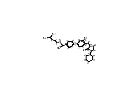 O=C(O)CCCNC(=O)c1ccc(-c2ccc(CC3CCN(C4CCCCC4)C3=O)c(Cl)c2)cc1